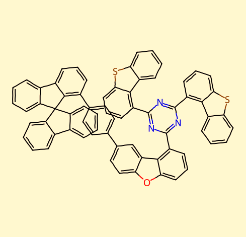 c1ccc2c(c1)-c1ccccc1C21c2ccccc2-c2cccc(-c3ccc(-c4ccc5oc6cccc(-c7nc(-c8cccc9sc%10ccccc%10c89)nc(-c8cccc9sc%10ccccc%10c89)n7)c6c5c4)cc3)c21